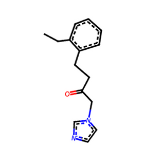 CCc1ccccc1CCC(=O)Cn1ccnc1